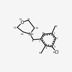 Cc1cc(Cl)c(C)c(CN2CCOCC2)c1